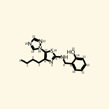 CCCCc1nc(NCc2ccccc2O)sc1-n1cncn1